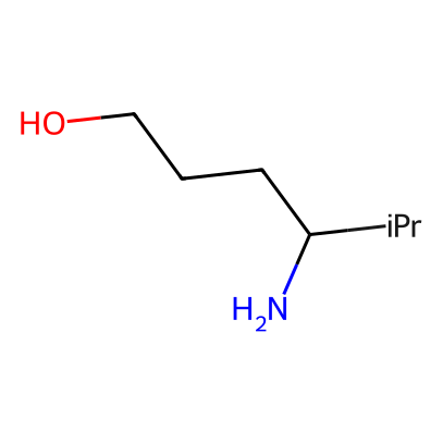 CC(C)C(N)CCCO